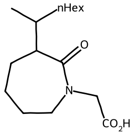 CCCCCCC(C)C1CCCCN(CC(=O)O)C1=O